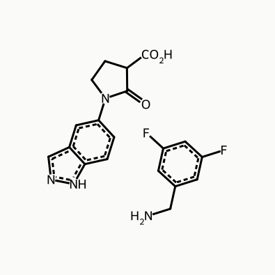 NCc1cc(F)cc(F)c1.O=C(O)C1CCN(c2ccc3[nH]ncc3c2)C1=O